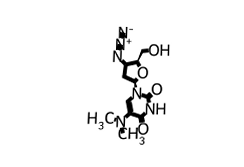 CN(C)c1cn([C@H]2CC(N=[N+]=[N-])[C@@H](CO)O2)c(=O)[nH]c1=O